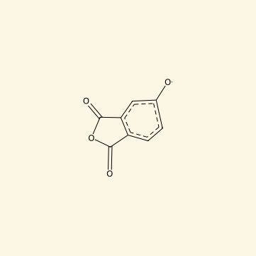 [O]c1ccc2c(c1)C(=O)OC2=O